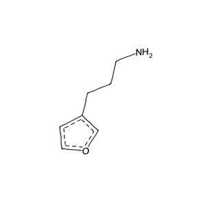 NCCCc1ccoc1